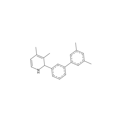 CC1=C(C)C(c2cccc(-c3cc(C)cc(C)c3)c2)NC=C1